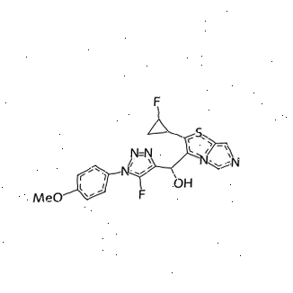 COc1ccc(-n2nnc(C(O)c3c(C4CC4F)sc4cncn34)c2F)cc1